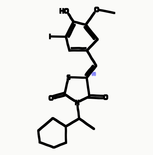 COc1cc(/C=C2\SC(=O)N(C(C)C3CCCCC3)C2=O)cc(I)c1O